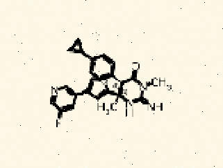 CN1C(=N)N[C@](C)(c2cc(-c3cncc(F)c3)cs2)[C@@H](c2ccc(C3CC3)cc2)C1=O